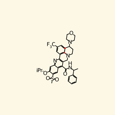 CC(C)Oc1cc2nc(-c3cccc(C(F)(F)F)c3)c(CN3CCC(N4CCOCC4)CC3)c(C(=O)NC(C)c3ccccc3)c2cc1S(C)(=O)=O